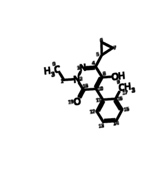 CCn1nc(C2CC2)c(O)c(-c2ccccc2C)c1=O